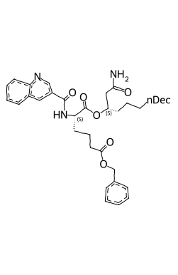 CCCCCCCCCCCCC[C@@H](CC(N)=O)OC(=O)[C@H](CCCC(=O)OCc1ccccc1)NC(=O)c1cnc2ccccc2c1